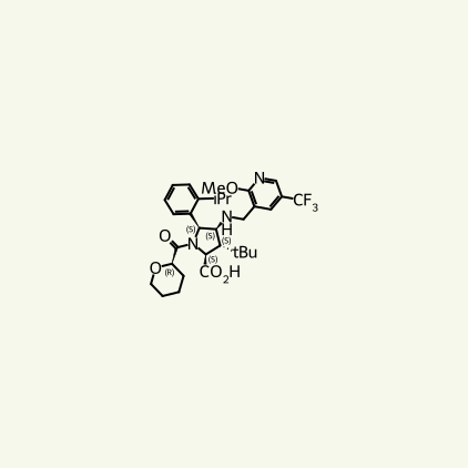 COc1ncc(C(F)(F)F)cc1CN[C@H]1[C@H](C(C)(C)C)[C@@H](C(=O)O)N(C(=O)[C@H]2CCCCO2)[C@H]1c1ccccc1C(C)C